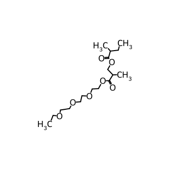 CCOCCOCCOCCOC(=O)C(C)COC(=O)C(C)CC